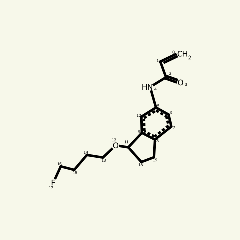 C=CC(=O)Nc1ccc2c(c1)C(OCCCCF)CC2